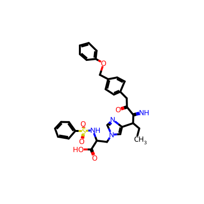 CCC(C(=N)C(=O)Cc1ccc(COc2ccccc2)cc1)c1cn(CC(NS(=O)(=O)c2ccccc2)C(=O)O)cn1